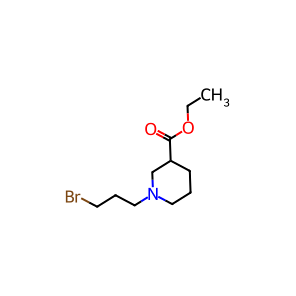 CCOC(=O)C1CCCN(CCCBr)C1